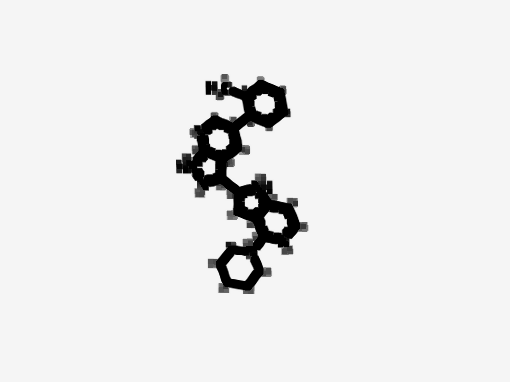 Cc1ccccc1-c1cnc2[nH]nc(-c3cc4c(N5CCCCC5)nccc4[nH]3)c2c1